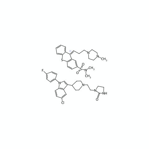 CN1CCN(CC/C=C2/c3ccccc3Sc3ccc(S(=O)(=O)N(C)C)cc32)CC1.O=C1NCCN1CCN1CCC(c2cn(-c3ccc(F)cc3)c3ccc(Cl)cc23)CC1